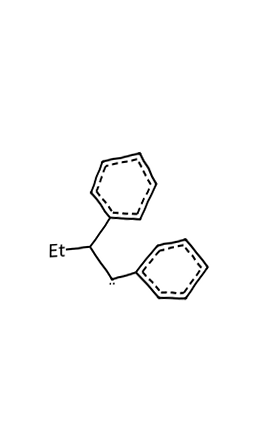 CCC([C]c1ccccc1)c1ccccc1